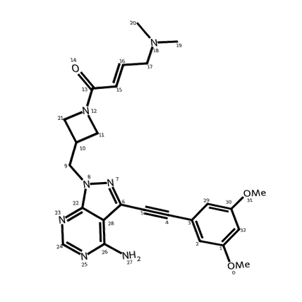 COc1cc(C#Cc2nn(CC3CN(C(=O)C=CCN(C)C)C3)c3ncnc(N)c23)cc(OC)c1